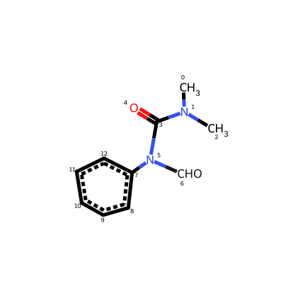 CN(C)C(=O)N(C=O)c1ccccc1